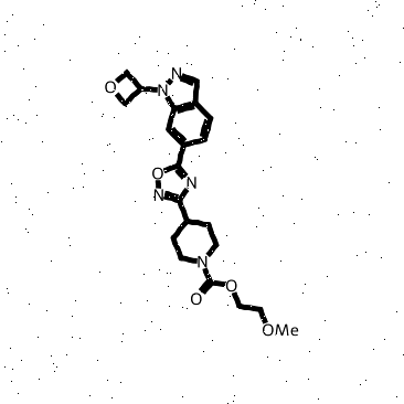 COCCOC(=O)N1CCC(c2noc(-c3ccc4cnn(C5COC5)c4c3)n2)CC1